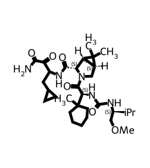 COC[C@@H](NC(=O)N[C@H](C(=O)N1C[C@H]2[C@@H]([C@H]1C(=O)NC(CC1CC1)C(=O)C(N)=O)C2(C)C)C1(C)CCCCC1)C(C)C